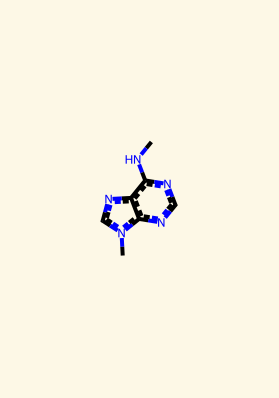 CNc1ncnc2c1ncn2C